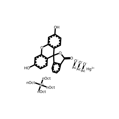 CC(=O)[O-].CC(=O)[O-].CC(=O)[O-].CCCCCCCC[N+](CCCCCCCC)(CCCCCCCC)CCCCCCCC.O=C1OC2(c3ccc(O)cc3Oc3cc(O)ccc32)c2ccccc21.[Hg+2]